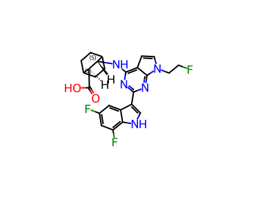 O=C(O)[C@H]1C2CCC(CC2)[C@@H]1Nc1nc(-c2c[nH]c3c(F)cc(F)cc23)nc2c1ccn2CCF